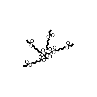 C=CC(=O)OCCCCC(=O)OC[C@@H]1OC[C@@H](OC(=O)CCCCOC(=O)C=C)C(OC(=O)CCCCOC(=O)C=C)[C@H]1OC(=O)CCCCOC(=O)C=C